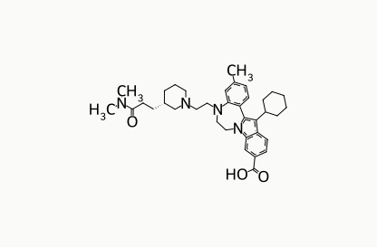 Cc1ccc2c(c1)N(CCN1CCC[C@@H](CCC(=O)N(C)C)C1)CCn1c-2c(C2CCCCC2)c2ccc(C(=O)O)cc21